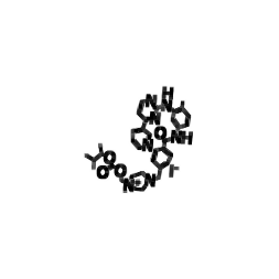 Cc1ccc(NC(=O)c2ccc(CN3CC[N+](C)(COC(=O)OC(C)C(C)C)CC3)cc2)cc1Nc1nccc(-c2cccnc2)n1.[I-]